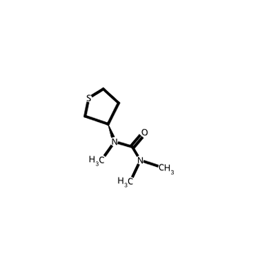 CN(C)C(=O)N(C)[C@@H]1CCSC1